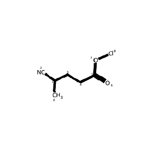 CC(C#N)CCC(=O)OCl